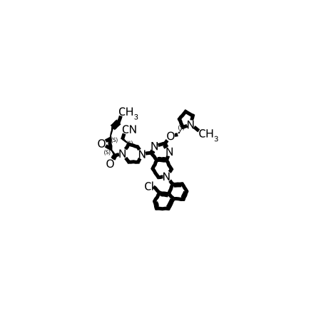 CC#C[C@@H]1O[C@@H]1C(=O)N1CCN(c2nc(OC[C@@H]3CCCN3C)nc3c2CCN(c2cccc4cccc(Cl)c24)C3)C[C@@H]1CC#N